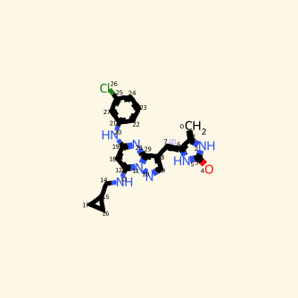 C=c1[nH]c(=O)[nH]/c1=C\c1cnn2c(NCC3CC3)cc(Nc3cccc(Cl)c3)nc12